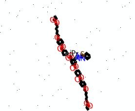 C=CC(=O)OCCCCCCOc1ccc(OC(=O)[C@H]2CC[C@H](OC(=O)c3ccc(OC(=O)[C@H]4CC[C@H](OC(=O)c5ccc(OCCCCCCOC(=O)C=C)cc5)CC4)cc3/C=N/N(c3nc4ccccc4s3)C(C)C)CC2)cc1